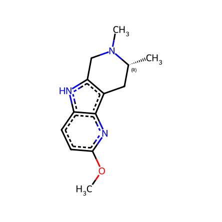 COc1ccc2[nH]c3c(c2n1)C[C@@H](C)N(C)C3